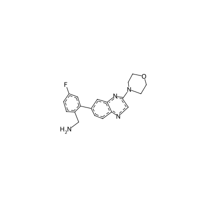 NCc1ccc(F)cc1-c1ccc2ncc(N3CCOCC3)nc2c1